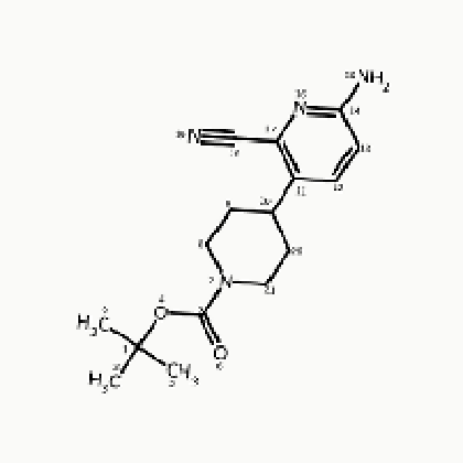 CC(C)(C)OC(=O)N1CCC(c2ccc(N)nc2C#N)CC1